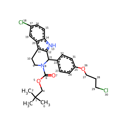 CC(C)(C)COC(=O)N1CCc2c([nH]c3ccc(Cl)cc23)C1c1ccc(OCCCCl)cc1